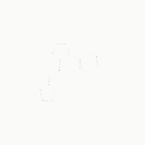 O=C(Oc1cc[nH]n1)c1ncoc1-c1cccc(Cl)c1